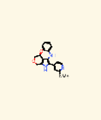 CNc1cc(-c2[nH]c3c(c2Nc2ccccc2)C(=O)COC3)ccn1